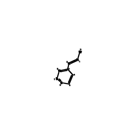 BrN=Nc1ccbbn1